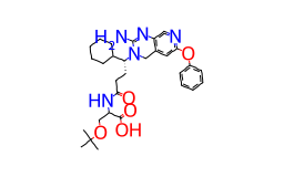 CC(C)(C)OCC(NC(=O)CC[C@H](C1CCCCC1)N1Cc2cc(Oc3ccccc3)ncc2N=C1N)C(=O)O